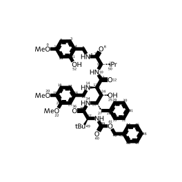 COc1ccc(CNC(=O)[C@@H](NC(=O)[C@H](NCc2ccc(OC)c(OC)c2)[C@H](O)[C@H](Cc2ccccc2)NC(=O)[C@@H](NC(=O)OCc2ccccc2)C(C)(C)C)C(C)C)c(O)c1